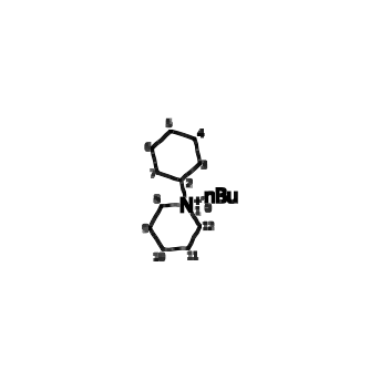 CCCC[N+]1(C2CCCCC2)CCCCC1